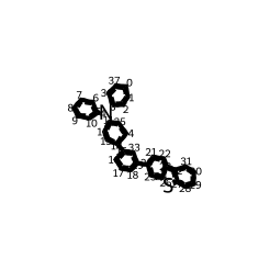 c1ccc(N(c2ccccc2)c2ccc(-c3cccc(-c4ccc5c(c4)sc4ccccc45)c3)cc2)cc1